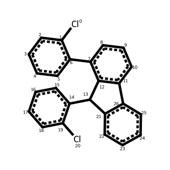 Clc1ccccc1-c1cccc2c1C(c1ccccc1Cl)c1ccccc1-2